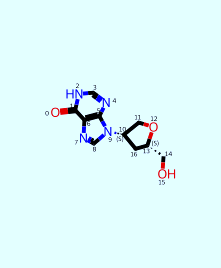 O=c1[nH]cnc2c1ncn2[C@@H]1CO[C@H](CO)C1